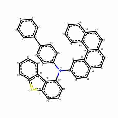 c1ccc(-c2ccc(N(c3ccc4ccc5ccc6ccccc6c5c4c3)c3cccc4sc5ccccc5c34)cc2)cc1